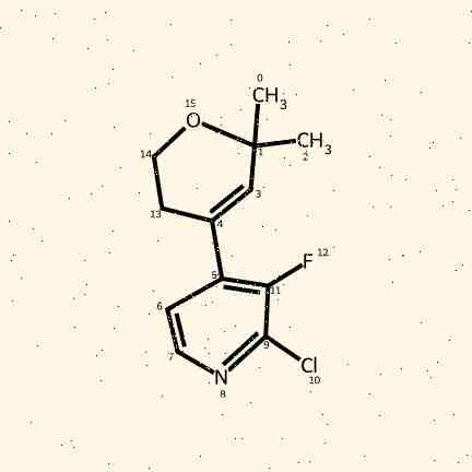 CC1(C)C=C(c2ccnc(Cl)c2F)CCO1